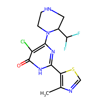 Cc1ncsc1-c1nc(N2CCNCC2C(F)F)c(Cl)c(=O)[nH]1